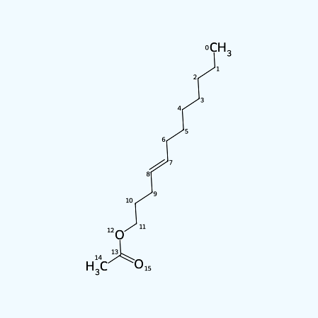 CCCCCCCC=CCCCOC(C)=O